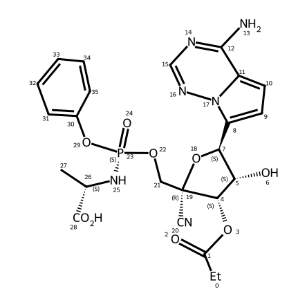 CCC(=O)O[C@H]1[C@@H](O)[C@H](c2ccc3c(N)ncnn23)O[C@]1(C#N)CO[P@@](=O)(N[C@@H](C)C(=O)O)Oc1ccccc1